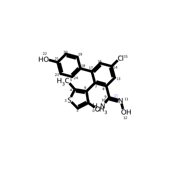 Cc1csc(C)c1-c1c(/C(N)=N/O)cc(Cl)cc1-c1ccc(O)cc1